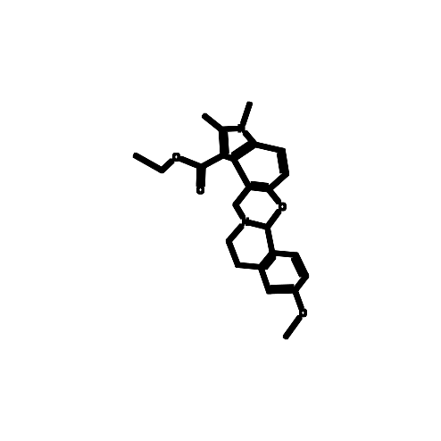 CCOC(=O)c1c(C)n(C)c2ccc3c(c12)CN1CCc2cc(OC)ccc2C1O3